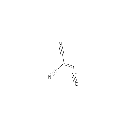 [C-]#[N+]C=C(C#N)C#N